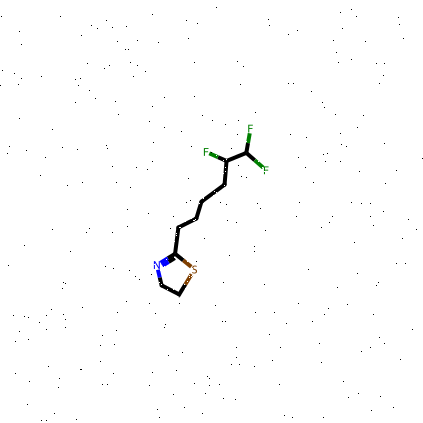 FC(F)C(F)CCCCC1=NC[CH]S1